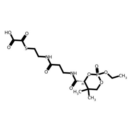 CCOP1(=O)OCC(C)(C)[C@H](C(=O)NCCC(=O)NCCSC(=O)C(=O)O)O1